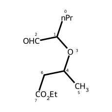 CCCC(C=O)OC(C)CC(=O)OCC